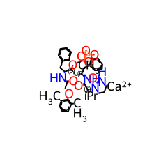 Cc1cccc(C)c1OCC(=O)NC(Cc1ccccc1)[C@H](C[C@@H](Cc1ccccc1)NC(=O)[C@H](C(C)C)N1CCCNC1=O)OC(C)OP(=O)([O-])[O-].[Ca+2]